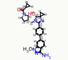 Cn1nc(N)c2ccc(-c3ccc(C4=NC5(CC5)C(O)N4C[C@@H]4CCN(C(=O)C5CC5)C4)cc3)cc21